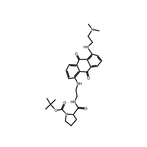 CN(C)CCNc1cccc2c1C(=O)c1cccc(NCCNC(=O)C3CCCN3C(=O)OC(C)(C)C)c1C2=O